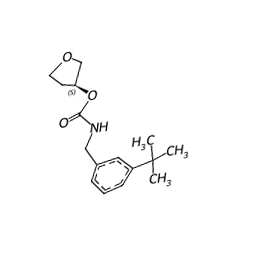 CC(C)(C)c1cccc(CNC(=O)O[C@H]2CCOC2)c1